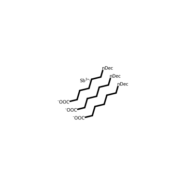 CCCCCCCCCCCCCCCC(=O)[O-].CCCCCCCCCCCCCCCC(=O)[O-].CCCCCCCCCCCCCCCC(=O)[O-].[Sb+3]